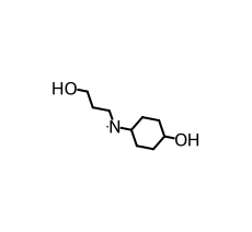 OCCC[N]C1CCC(O)CC1